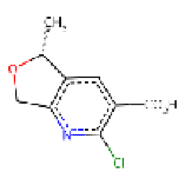 C[C@H]1OCc2nc(Cl)c(C(=O)O)cc21